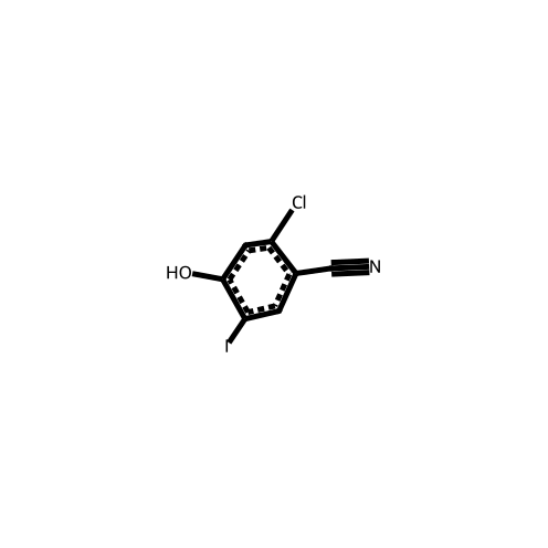 N#Cc1cc(I)c(O)cc1Cl